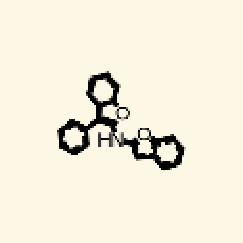 C1=CC2OC(Nc3cc4ccccc4o3)=C(c3ccccc3)C2C=C1